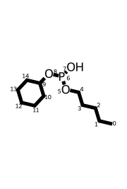 CCCCCOP(O)OC1CCCCC1